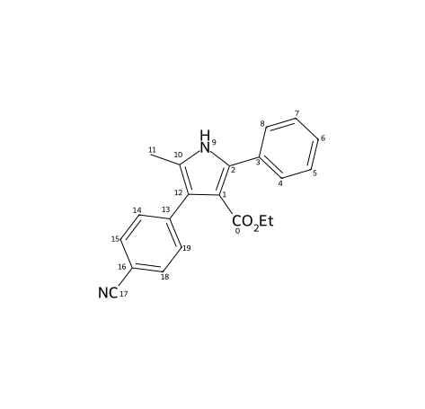 CCOC(=O)c1c(-c2ccccc2)[nH]c(C)c1-c1ccc(C#N)cc1